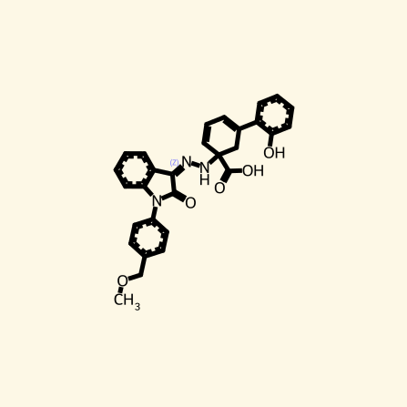 COCc1ccc(N2C(=O)/C(=N\NC3(C(=O)O)C=CC=C(c4ccccc4O)C3)c3ccccc32)cc1